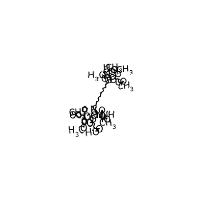 COc1ccc(C(OC[C@]2(COC(=O)CCC(=O)O)CN(CCCCCCCCCCCCO[C@@H]3O[C@H](COC(C)=O)[C@H](OC(C)=O)[C@H](OC(C)=O)[C@H]3NC(C)=O)C[C@H](n3cc(C)c(=O)[nH]c3=O)O2)(c2ccccc2)c2ccc(OC)cc2)cc1